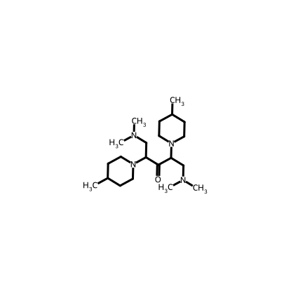 CC1CCN(C(CN(C)C)C(=O)C(CN(C)C)N2CCC(C)CC2)CC1